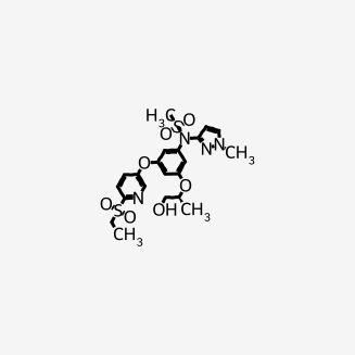 CCS(=O)(=O)c1ccc(Oc2cc(O[C@@H](C)CO)cc(N(c3ccn(C)n3)S(C)(=O)=O)c2)cn1